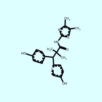 Cc1nc(NC(=O)C(C)(C)C(c2ccc(O)cc2)c2ccc(O)cc2)sc1C